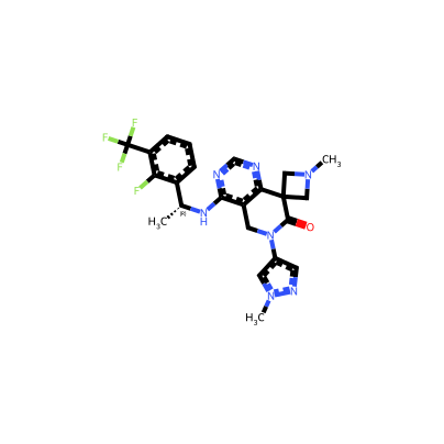 C[C@@H](Nc1ncnc2c1CN(c1cnn(C)c1)C(=O)C21CN(C)C1)c1cccc(C(F)(F)F)c1F